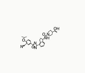 C=C(O)C1CCN(C(=O)N[C@@H]2CCc3c(-c4noc(-c5ccc(OC(C)C)c(C#N)c5)n4)cccc32)CC1